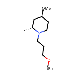 CO[C@H]1CCN(CCCOC(C)(C)C)[C@H](C)C1